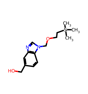 C[Si](C)(C)CCOCn1cnc2cc(CO)ccc21